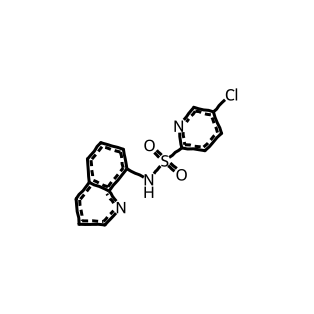 O=S(=O)(Nc1cccc2cccnc12)c1ccc(Cl)cn1